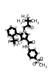 Cc1c(C(=O)Nc2ccc(S(C)(=O)=O)cc2)cn(CC(=O)C(C)(C)C)c1-c1ccccc1C(F)(F)F